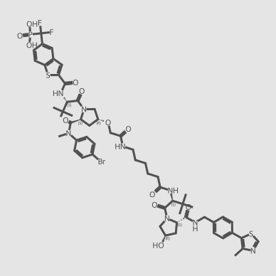 Cc1ncsc1-c1ccc(CNC(=O)[C@@H]2C[C@@H](O)CN2C(=O)[C@@H](NC(=O)CCCCCNC(=O)CO[C@@H]2C[C@@H](C(=O)N(C)c3ccc(Br)cc3)N(C(=O)[C@@H](NC(=O)c3cc4cc(C(F)(F)P(=O)(O)O)ccc4s3)C(C)(C)C)C2)C(C)(C)C)cc1